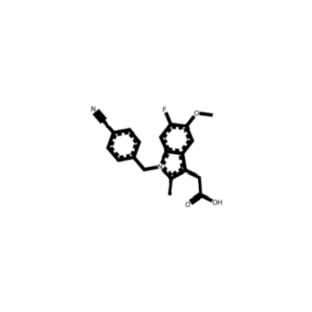 COc1cc2c(CC(=O)O)c(C)n(Cc3ccc(C#N)cc3)c2cc1F